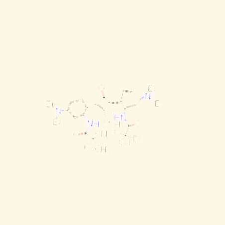 CCN(CC)c1ccc(C2=C([O-])/C(=C3/C=CC(=[N+](CC)CC)C=C3NC(=O)C(C)(C)CC)C2=O)c(NC(=O)C(C)(C)CC)c1